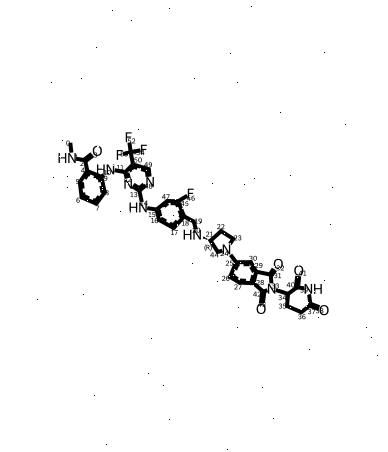 CNC(=O)c1ccccc1Nc1nc(Nc2ccc(CN[C@@H]3CCN(c4ccc5c(c4)C(=O)N(C4CCC(=O)NC4=O)C5=O)C3)c(F)c2)ncc1C(F)(F)F